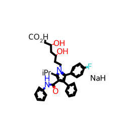 CC(C)c1c(C(=O)Nc2ccccc2)c(-c2ccccc2)c(-c2ccc(F)cc2)n1CC[C@@H](O)C[C@@H](O)CC(=O)O.[NaH]